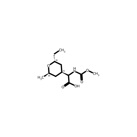 CC[C@@H]1C[C@@H](C(NC(=O)OC)C(=O)O)C[C@@H](C)O1